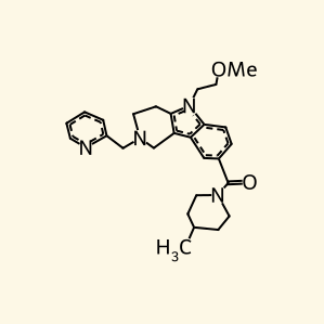 COCCn1c2c(c3cc(C(=O)N4CCC(C)CC4)ccc31)CN(Cc1ccccn1)CC2